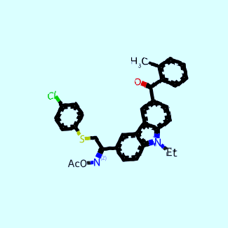 CCn1c2ccc(C(=O)c3ccccc3C)cc2c2cc(/C(CSc3ccc(Cl)cc3)=N/OC(C)=O)ccc21